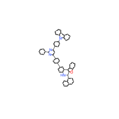 c1ccc(-c2nc(-c3ccc(-c4ccc5c(c4)-c4c(oc6ccccc46)C(c4cccc6ccccc46)N5)cc3)cc(-c3ccc(-n4c5ccccc5c5ccccc54)cc3)n2)cc1